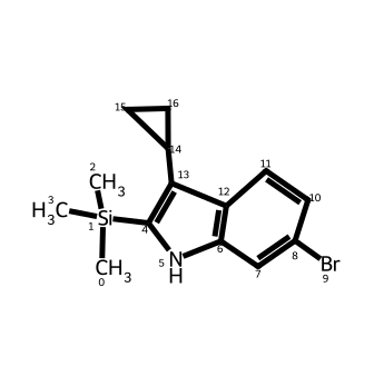 C[Si](C)(C)c1[nH]c2cc(Br)ccc2c1C1CC1